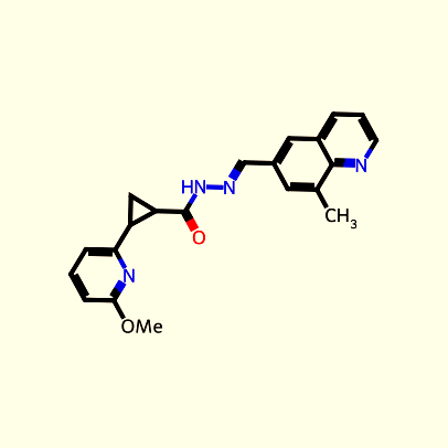 COc1cccc(C2CC2C(=O)N/N=C/c2cc(C)c3ncccc3c2)n1